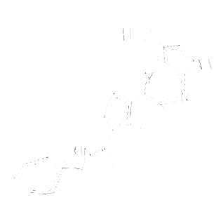 O=C(NCc1ccccc1)c1ccc(-c2cnc3[nH]cc(C(=O)O)c3n2)s1